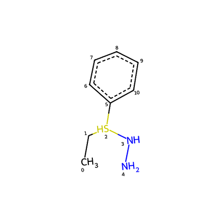 CC[SH](NN)c1ccccc1